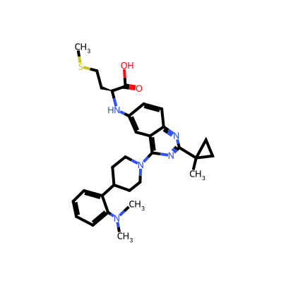 CSCC[C@H](Nc1ccc2nc(C3(C)CC3)nc(N3CCC(c4ccccc4N(C)C)CC3)c2c1)C(=O)O